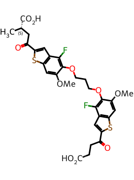 COc1cc2sc(C(=O)CCC(=O)O)cc2c(F)c1OCCCOc1c(OC)cc2sc(C(=O)C[C@H](C)C(=O)O)cc2c1F